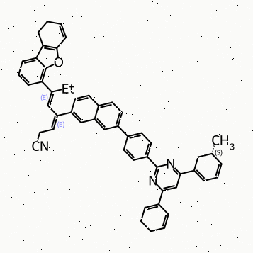 CC/C(=C\C(=C/CC#N)c1ccc2ccc(-c3ccc(-c4nc(C5=CCCC=C5)cc(C5=CC=C[C@@H](C)C5)n4)cc3)cc2c1)c1cccc2c3c(oc12)C=CCC3